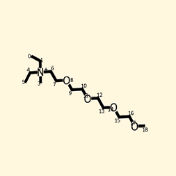 CC[N+](C)(CC)CCOCCOCCOCCOC